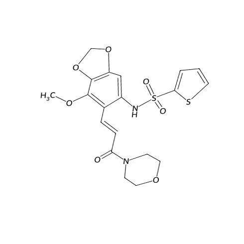 COc1c(/C=C/C(=O)N2CCOCC2)c(NS(=O)(=O)c2cccs2)cc2c1OCO2